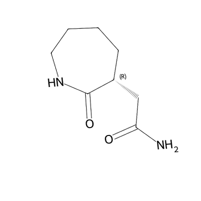 NC(=O)C[C@H]1CCCCNC1=O